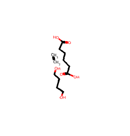 C=C.O=C(O)CCCCC(=O)O.OCCCCO